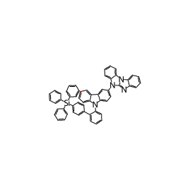 c1ccc([Si](c2ccccc2)(c2ccccc2)c2ccc(-c3ccccc3-n3c4ccccc4c4cc(-n5c6ccccc6n6c7ccccc7nc56)ccc43)cc2)cc1